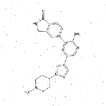 CN1CCC(n2cc(-c3cnc(N)c(-c4ccc5c(c4)CNC5=O)c3)cn2)CC1